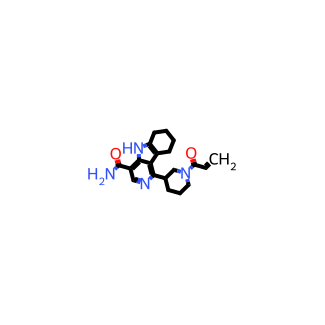 C=CC(=O)N1CCCC(c2ncc(C(N)=O)c3[nH]c4c(c23)CCCC4)C1